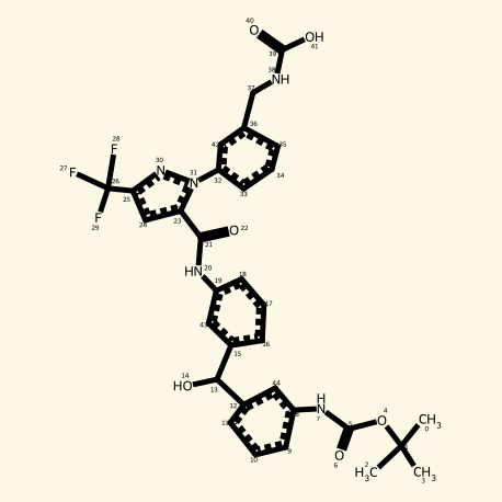 CC(C)(C)OC(=O)Nc1cccc(C(O)c2cccc(NC(=O)c3cc(C(F)(F)F)nn3-c3cccc(CNC(=O)O)c3)c2)c1